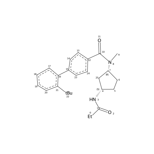 CCC(=O)N[C@H]1CC[C@@H](N(C)C(=O)c2ccc(-c3ccccc3C(C)(C)C)cc2)C1